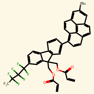 C=CC(=O)OCC1(COC(=O)C=C)c2cc(-c3ccc4ccc5cc(C(C)(C)C)cc6ccc3c4c56)ccc2-c2ccc(C(F)(F)C(F)(F)C(F)(F)C(F)(F)F)cc21